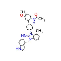 COc1ccc(NC(C)=O)c(-c2ccc(-n3c(=N)n(Cc4cccc5[nH]ccc45)c4cccc(C)c43)cc2)c1